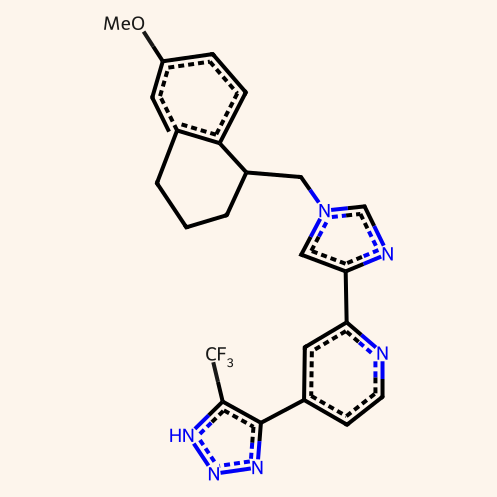 COc1ccc2c(c1)CCCC2Cn1cnc(-c2cc(-c3nn[nH]c3C(F)(F)F)ccn2)c1